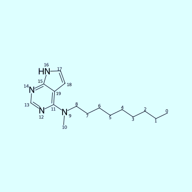 CCCCCCCCCN(C)c1ncnc2[nH]ccc12